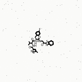 Cc1cc(C(=O)N[C@H](C(=O)N[C@@H](Cc2ccc(F)cc2)C(=O)NCC(=O)c2nc3ccccc3s2)C(C)C)no1